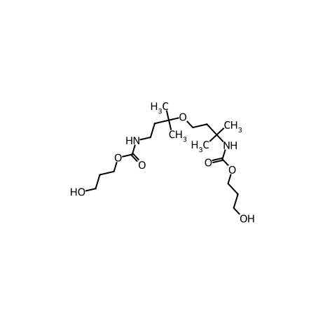 CC(C)(CCOC(C)(C)CCNC(=O)OCCCO)NC(=O)OCCCO